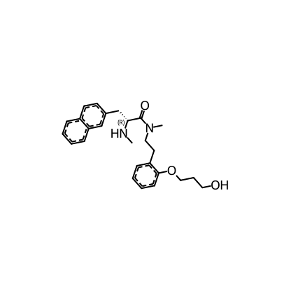 CN[C@H](Cc1ccc2ccccc2c1)C(=O)N(C)CCc1ccccc1OCCCO